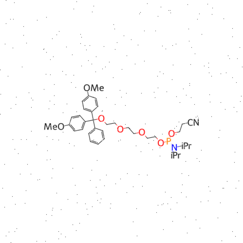 COc1ccc(C(OCCOCCOCCOP(OCCC#N)N(C(C)C)C(C)C)(c2ccccc2)c2ccc(OC)cc2)cc1